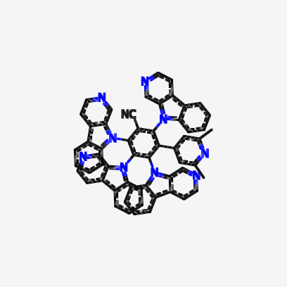 Cc1cc(-c2c(-n3c4ccccc4c4ccncc43)c(C#N)c(-n3c4ccccc4c4ccncc43)c(-n3c4ccccc4c4ccncc43)c2-n2c3ccccc3c3ccncc32)cc(C)n1